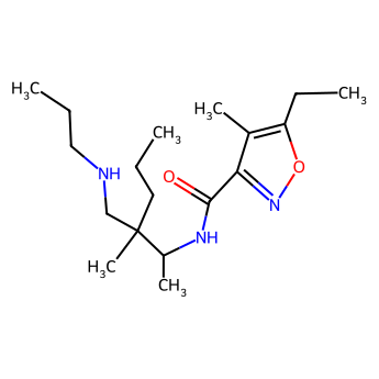 CCCNCC(C)(CCC)C(C)NC(=O)c1noc(CC)c1C